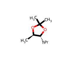 CCC[C@H]1OC(C)(C)O[C@@H]1C